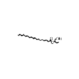 CCCCCCCCC=CCCCCCCCC(=O)OC(CC)CO